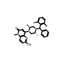 C[C@@H]1CN(c2cc(=O)n(C)c3ccc(C#N)nc23)[C@@H](C)CN1C(c1ccccc1)c1c(F)cccc1F